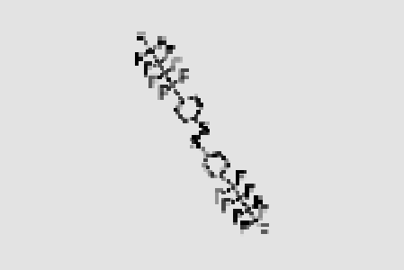 FC(F)(F)C(F)(F)C(F)(F)C(F)(F)c1ccc(SSc2ccc(C(F)(F)C(F)(F)C(F)(F)C(F)(F)F)cc2)cc1